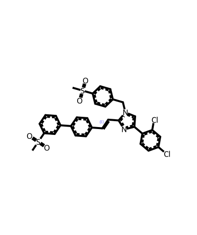 CS(=O)(=O)c1ccc(Cn2cc(-c3ccc(Cl)cc3Cl)nc2/C=C/c2ccc(-c3cccc(S(C)(=O)=O)c3)cc2)cc1